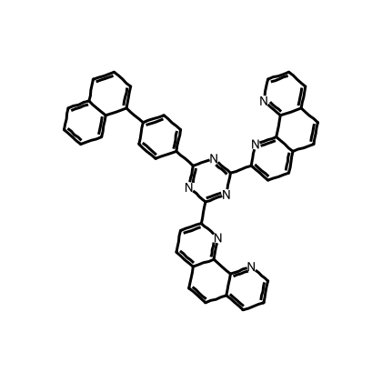 c1ccc2c(-c3ccc(-c4nc(-c5ccc6ccc7cccnc7c6n5)nc(-c5ccc6ccc7cccnc7c6n5)n4)cc3)cccc2c1